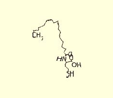 CCCCC/C=C\C/C=C\CCCCCCCC(=O)NC(CCS)C(=O)O